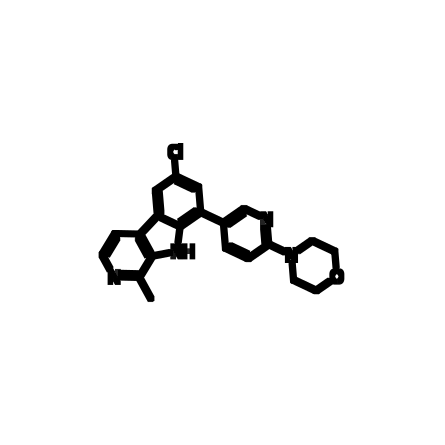 Cc1nccc2c1[nH]c1c(-c3ccc(N4CCOCC4)nc3)cc(Cl)cc12